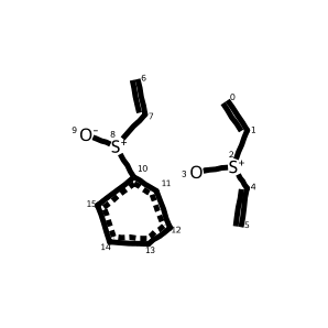 C=C[S+]([O-])C=C.C=C[S+]([O-])c1ccccc1